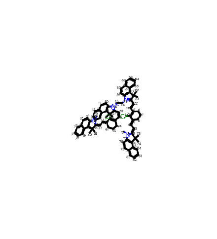 CN1C(=CC=C2CCCC(C=CC3=[N+](CC[N+]4=C(C=CC5=C(Cl)C(=CC=C6N(C)c7ccc8ccccc8c7C6(C)C)CCC5)C(C)(C)c5c4ccc4ccccc54)c4ccc5ccccc5c4C3(C)C)=C2Cl)C(C)(C)c2c1ccc1ccccc21